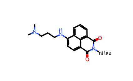 CCCCCCN1C(=O)c2cccc3c(NCCCN(C)C)ccc(c23)C1=O